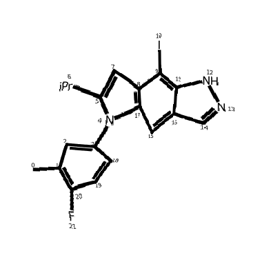 Cc1cc(-n2c(C(C)C)cc3c(I)c4[nH]ncc4cc32)ccc1F